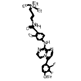 CC[N+](CC)(CC)CCCNC(=O)c1ccc(Nc2nccn3c(-c4ccc(OC)c(F)c4F)cnc23)cc1Cl